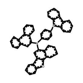 c1ccc2c(c1)cc(N(c1ccc(-n3c4ccccc4c4ccccc43)cc1)c1cc3c4ccccc4oc3c3ccccc13)c1ccccc12